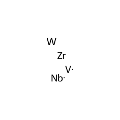 [Nb].[V].[W].[Zr]